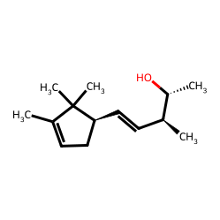 CC1=CC[C@H](/C=C/[C@H](C)[C@@H](C)O)C1(C)C